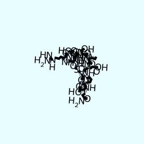 CC[C@H](C)[C@H](NC(=O)[C@@H](NC(=O)[C@H](CC(=O)O)NC(=O)[C@H](C)NC(=O)[C@@H](N)CCCNC(=N)N)[C@@H](C)O)C(=O)N[C@@H](CCC(=O)O)C(=O)N[C@@H](CCSC)C(=O)N1CCC[C@H]1C(=O)N[C@@H](CCC(N)=O)C(=O)O